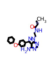 C/C=C/C(=O)NCCn1nc(-c2ccc(Oc3ccccc3)cc2)c2c(N)ncnc21